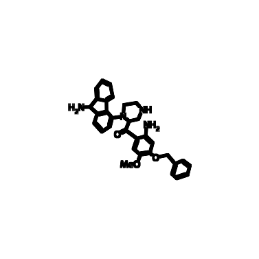 COc1cc(C(=O)C2CNCCN2c2cccc3c2-c2ccccc2C3N)c(N)cc1OCc1ccccc1